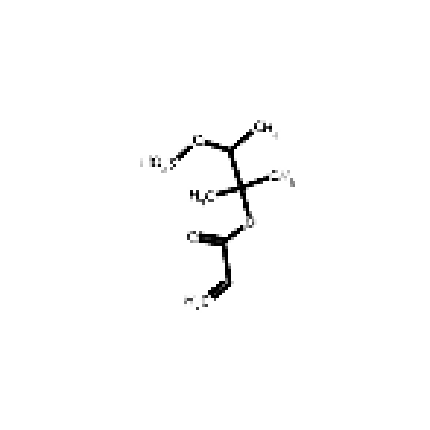 C=CC(=O)OC(C)(C)C(C)OS(=O)(=O)O